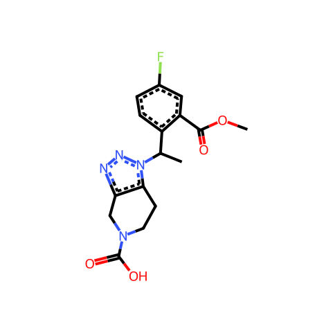 COC(=O)c1cc(F)ccc1C(C)n1nnc2c1CCN(C(=O)O)C2